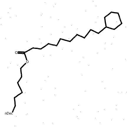 CCCCCCCCCCCCCCCCOC(=O)CCCCCCCCCCC1CCCCC1